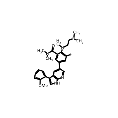 COc1ccccc1-c1c[nH]c2ncc(-c3cc(F)c(N(C)CCN(C)C)c(C(=O)N(C)C)c3)cc12